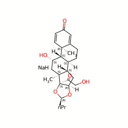 CCC[C@@H]1O[C@@H]2C[C@H]3[C@@H]4CCC5=CC(=O)C=C[C@]5(C)[C@H]4[C@@H](O)C[C@]3(C)[C@]2(C(=O)CO)O1.[NaH]